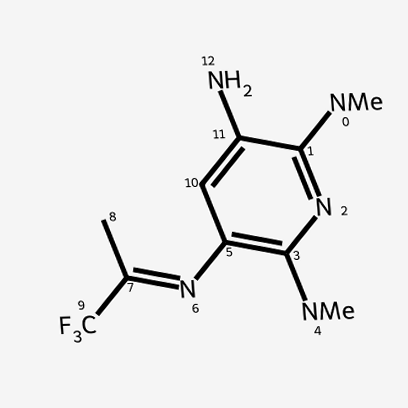 CNc1nc(NC)c(/N=C(\C)C(F)(F)F)cc1N